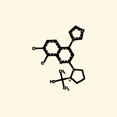 CC(C)(O)[C@@H]1CCCN1c1cc(-n2ccnc2)c2ccc(Cl)c(Cl)c2n1